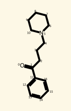 O=C(CCCN1CC[CH]CC1)c1ccccc1